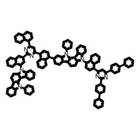 c1ccc(-c2ccc(-c3cc(-c4ccc(-n5c6ccccc6c6c5ccc5c7ccc(-c8ccc(-c9cc(-c%10cccc%11ccccc%10%11)nc(-c%10cc(-n%11c%12ccccc%12c%12c%11ccc%11c%13ccccc%13n(-c%13ccccc%13)c%11%12)c%11ccccc%11c%10)n9)c9ccccc89)cc7n(-c7ccccc7)c56)c5ccccc45)nc(-c4ccc(-c5ccccc5)cc4)n3)cc2)cc1